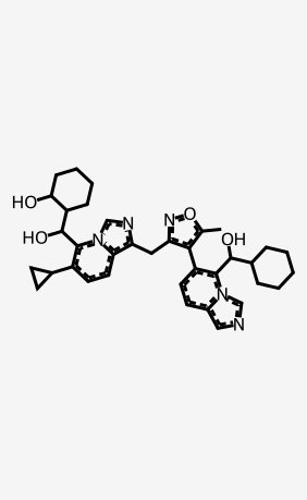 Cc1onc(Cc2ncn3c(C(O)C4CCCCC4O)c(C4CC4)ccc23)c1-c1ccc2cncn2c1C(O)C1CCCCC1